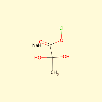 CC(O)(O)C(=O)OCl.[NaH]